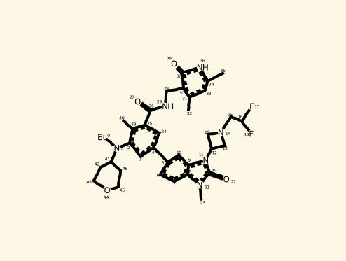 CCN(c1cc(-c2ccc3c(c2)n(C2CN(CC(F)F)C2)c(=O)n3C)cc(C(=O)NCc2c(C)cc(C)[nH]c2=O)c1C)C1CCOCC1